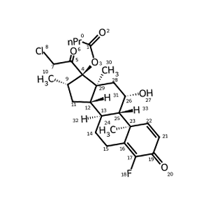 CCCC(=O)O[C@]1(C(=O)CCl)[C@@H](C)C[C@H]2[C@@H]3CCC4=C(F)C(=O)C=C[C@]4(C)[C@H]3[C@@H](O)C[C@@]21C